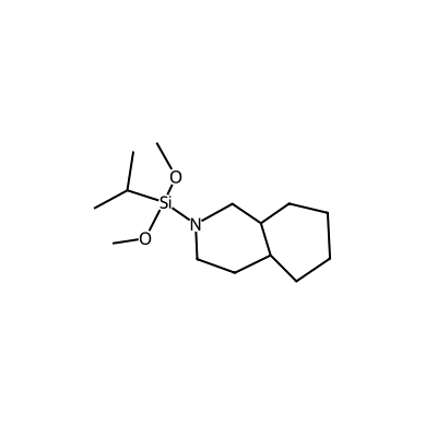 CO[Si](OC)(C(C)C)N1CCC2CCCCC2C1